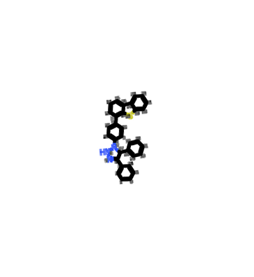 c1ccc(C2=NNN(c3ccc(-c4cccc5c4sc4ccccc45)cc3)C2c2ccccc2)cc1